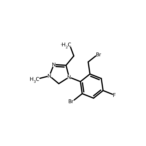 [CH2]CC1=NN(C)CN1c1c(Br)cc(F)cc1CBr